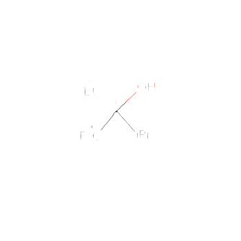 CC[C@](O)(C(C)C)C(F)(F)F